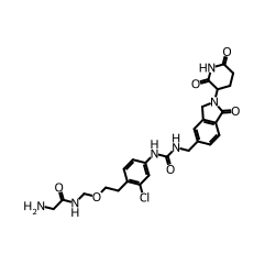 NCC(=O)NCOCCc1ccc(NC(=O)NCc2ccc3c(c2)CN(C2CCC(=O)NC2=O)C3=O)cc1Cl